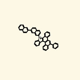 c1ccc(-c2cc3c4ccccc4c4c(c5ccccc5n4-c4ccc5ccc(-c6ccc7ccccc7c6)cc5c4)c3c3ccccc23)cc1